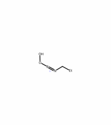 CCC/N=B/OO